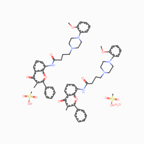 COc1ccccc1N1CCN(CCCC(=O)Nc2cccc3c(=O)c(C)c(-c4ccccc4)oc23)CC1.COc1ccccc1N1CCN(CCCC(=O)Nc2cccc3c(=O)c(C)c(-c4ccccc4)oc23)CC1.CS(=O)(=O)O.CS(=O)(=O)O.O